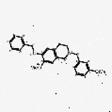 COc1cccc(CN2CCc3cc(OCc4ccccc4)c(OC)cc3C2)c1